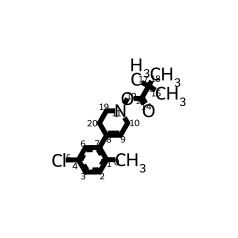 Cc1ccc(Cl)cc1C1=CCN(OC(=O)C(C)(C)C)CC1